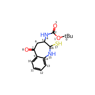 CC(C)(C)OC(=O)NC1CC(=O)c2ccccc2NC1S